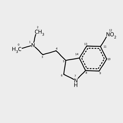 CN(C)CCC1CNc2ccc([N+](=O)[O-])cc21